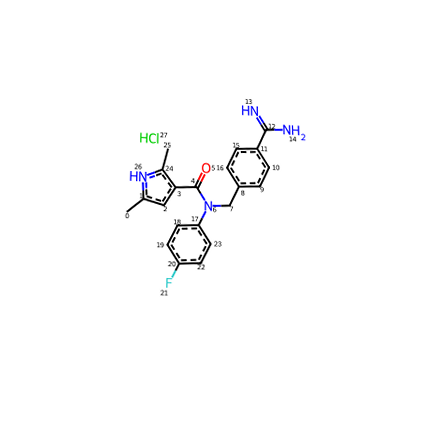 Cc1cc(C(=O)N(Cc2ccc(C(=N)N)cc2)c2ccc(F)cc2)c(C)[nH]1.Cl